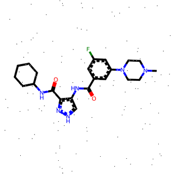 CN1CCN(c2cc(F)cc(C(=O)Nc3c[nH]nc3C(=O)NC3CCCCC3)c2)CC1